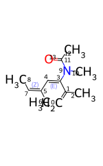 C=C(C)/C(=C\C(C)=C/C)N(C)C(C)=O